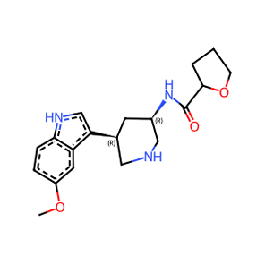 COc1ccc2[nH]cc([C@@H]3CNC[C@H](NC(=O)C4CCCO4)C3)c2c1